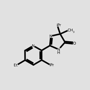 CCc1cnc(C2=NC(C)(C(C)C)C(=O)N2)c(C(C)C)c1